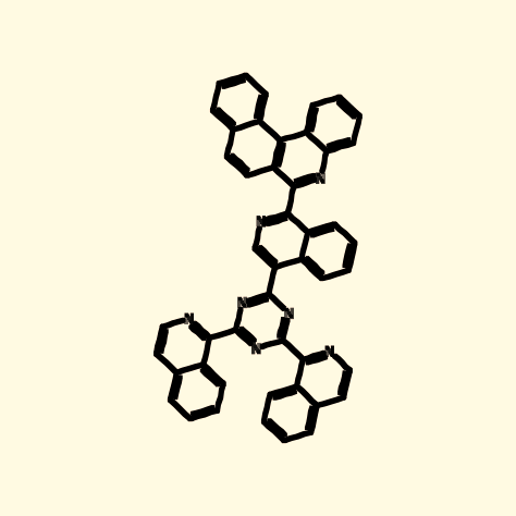 c1ccc2c(-c3nc(-c4nccc5ccccc45)nc(-c4cnc(-c5nc6ccccc6c6c5ccc5ccccc56)c5ccccc45)n3)nccc2c1